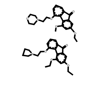 CCOc1cc(OC)c2c(c1)C(=O)c1cccc(OCCN3CCOCC3)c1-2.CCOc1cc(OCC)c2c(c1)C(=O)c1cccc(OCCN3CCCC3)c1-2